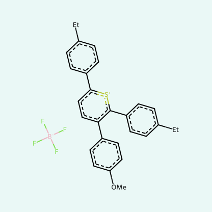 CCc1ccc(-c2ccc(-c3ccc(OC)cc3)c(-c3ccc(CC)cc3)[s+]2)cc1.F[B-](F)(F)F